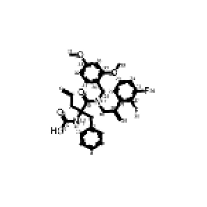 C=CCC(Cc1ccccc1)(NC(=O)O)C(=O)N(CC(=C)c1cccc(F)c1F)Cc1ccc(OC)cc1OC